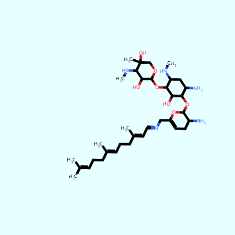 CNC1CC(N)C(OC2OC(C/N=C/C=C(\C)CC/C=C(\C)CCC=C(C)C)=CCC2N)C(O)C1OC1OCC(C)(O)C(NC)C1O